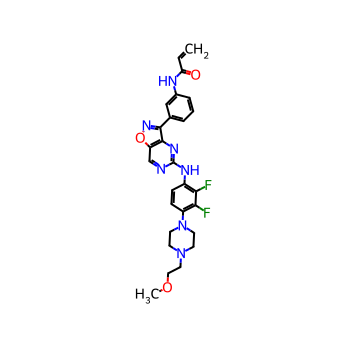 C=CC(=O)Nc1cccc(-c2noc3cnc(Nc4ccc(N5CCN(CCOC)CC5)c(F)c4F)nc23)c1